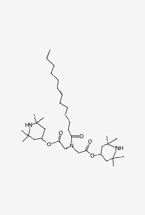 CCCCCCCCCCCCC(=O)N(CC(=O)OC1CC(C)(C)NC(C)(C)C1)CC(=O)OC1CC(C)(C)NC(C)(C)C1